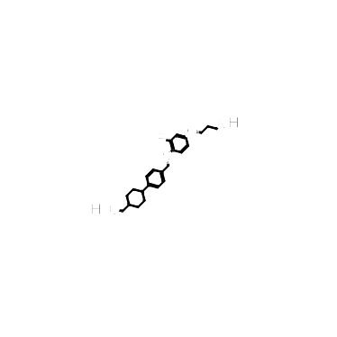 CCCCOc1ccc(SCc2ccc(C3CCC(CC)CC3)cc2)c(F)c1